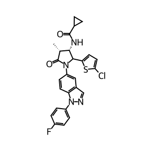 C[C@H]1C(=O)N(c2ccc3c(cnn3-c3ccc(F)cc3)c2)C(c2ccc(Cl)s2)[C@H]1NC(=O)C1CC1